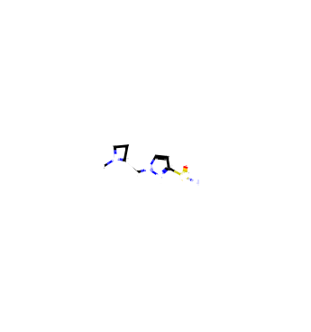 CN1CC[C@H]1Cn1ccc(S(N)(=O)=O)n1